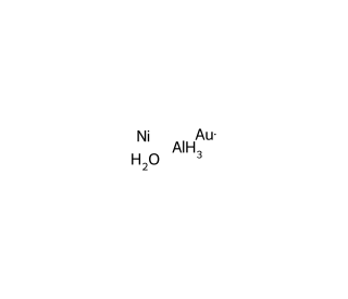 O.[AlH3].[Au].[Ni]